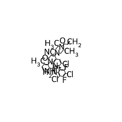 C=CC(=O)N1[C@H](C)CN(c2c(C#N)c(=O)n(C3=C(C)C=CNC3C(C)C)c3nc(-c4c(N)c(Cl)c(F)c(Cl)c4F)c(Cl)cc23)C[C@@H]1C